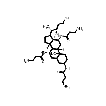 C[C@H](CCCO)C1CC[C@H]2C3[C@H](NC(=O)CCN)CC4C[C@H](NC(=O)CCN)CCC4(C)[C@H]3C[C@H](NC(=O)CCN)[C@]12C